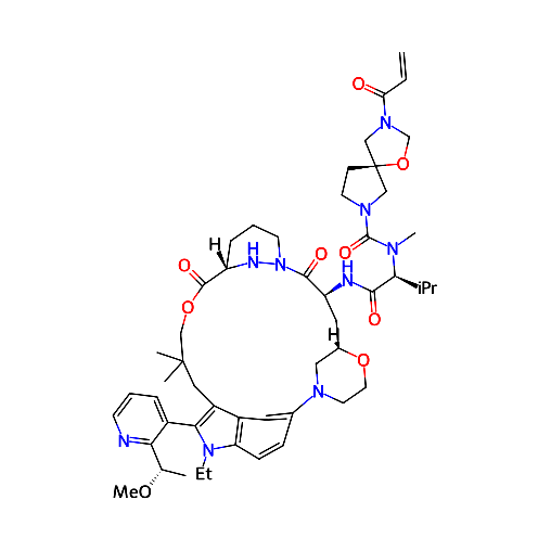 C=CC(=O)N1CO[C@@]2(CCN(C(=O)N(C)[C@H](C(=O)N[C@H]3C[C@H]4CN(CCO4)c4ccc5c(c4)c(c(-c4cccnc4[C@H](C)OC)n5CC)CC(C)(C)COC(=O)[C@@H]4CCCN(N4)C3=O)C(C)C)C2)C1